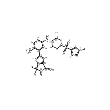 C[C@@H]1CN(S(=O)(=O)c2cn(C)cn2)CC[C@@H]1Nc1ncc(C(F)(F)F)c(-c2cc3c(s2)C(C)(C)NC3=O)n1